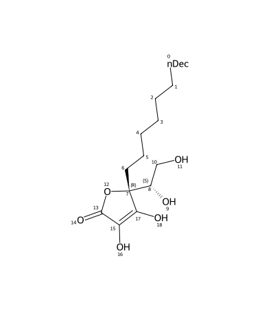 CCCCCCCCCCCCCCCC[C@]1([C@@H](O)CO)OC(=O)C(O)=C1O